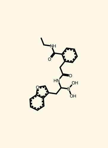 CCNC(=O)c1ccccc1CC(=O)NC(Cc1coc2ccccc12)B(O)O